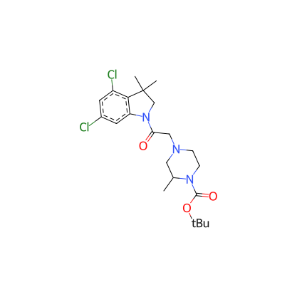 CC1CN(CC(=O)N2CC(C)(C)c3c(Cl)cc(Cl)cc32)CCN1C(=O)OC(C)(C)C